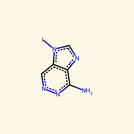 Nc1nncc2c1ncn2I